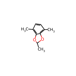 Cc1ccc(C)c2c1OC(C)O2